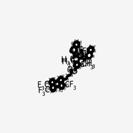 CC1=C2CCc3ccccc3C2=[N+]2C1=C(c1c(C)cc(OC(=O)CCCc3ccc4c5ccc(C(F)(F)F)c6c(C(F)(F)F)ccc(c7ccc(C(F)(F)F)c3c47)c65)cc1C)c1c(C)c3c(n1[B-]2(F)F)-c1ccccc1CC3